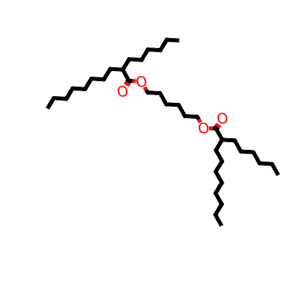 CCCCCCCCC(CCCCCC)C(=O)OCCCCCCOC(=O)C(CCCCCC)CCCCCCCC